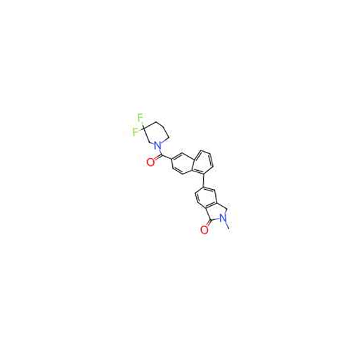 CN1Cc2cc(-c3cccc4cc(C(=O)N5CCCC(F)(F)C5)ccc34)ccc2C1=O